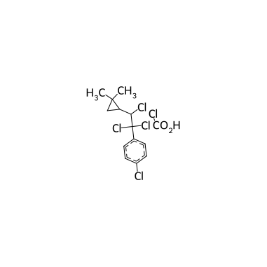 CC1(C)CC1C(Cl)C(Cl)(Cl)c1ccc(Cl)cc1.O=C(O)Cl